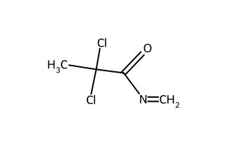 C=NC(=O)C(C)(Cl)Cl